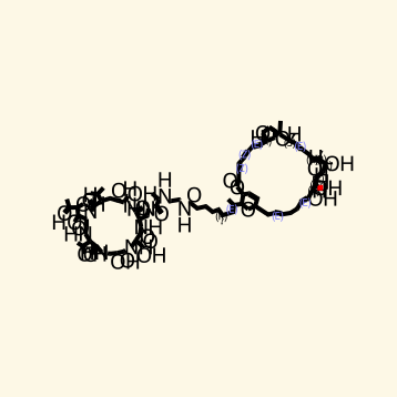 CC(=O)C(O)C(O)C1NC(=O)C(C(C)C)CC(=O)C(CO)NC(=O)C(CNC(=O)C(C)NCCNC(=O)CCCC[C@@H](C)/C=C(\C)C2OC3C=CC2OC(=O)\C=C/C=C\C=C\[C@H]2OC4CC2O[C@@H](/C=C/C[C@H]2O[C@H](C[C@H](O)[C@H]2C)[C@@H](O)[C@@H](O)/C=C/CC/C=C/C3)C4C)NC(=O)C(C(=O)O)NC(=O)C(O)CNC(=O)C(C(C)O)NC1=O